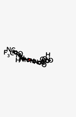 CC(C)(C(=O)Nc1ccc(C#N)c(C(F)(F)F)c1)n1cc(N2CC3CC2CC3N2CCN(c3ccc4c(c3)C(=O)N(C3CCC(=O)NC3=O)C4=O)CC2)cn1